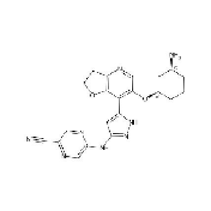 N#Cc1cnc(Nc2cc(-c3c(O[C@@H]4CCC[C@H](N)C4)cnc4c3OCC4)[nH]n2)cn1